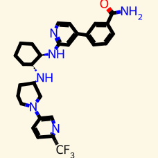 NC(=O)c1cccc(-c2ccnc(N[C@@H]3CCCC[C@H]3N[C@H]3CCCN(c4ccc(C(F)(F)F)nc4)C3)c2)c1